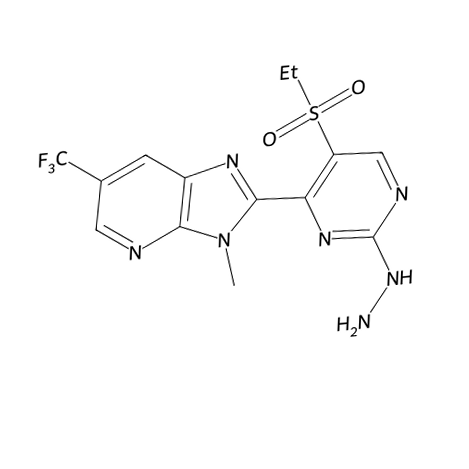 CCS(=O)(=O)c1cnc(NN)nc1-c1nc2cc(C(F)(F)F)cnc2n1C